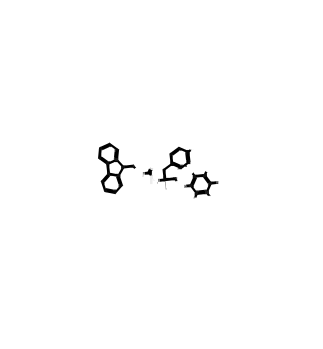 C[C@](Cc1ccc(O)cc1)(NC(=O)OCC1c2ccccc2-c2ccccc21)C(=O)Oc1c(F)c(F)c(F)c(F)c1F